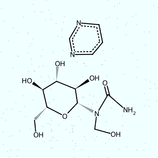 NC(=O)N(CO)[C@@H]1O[C@H](CO)[C@@H](O)[C@H](O)[C@H]1O.c1cncnc1